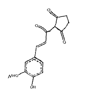 COc1cc(C=CC(=O)C2C(=O)CCC2=O)ccc1O